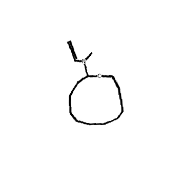 C=CN(C)C1CCCCCCCCCCC1